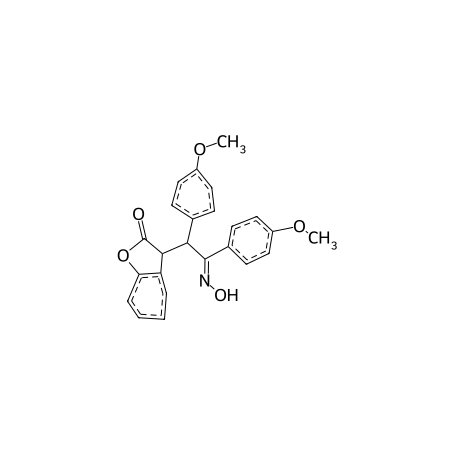 COc1ccc(C(=NO)C(c2ccc(OC)cc2)C2C(=O)Oc3ccccc32)cc1